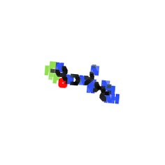 C=NCCC1(n2cc(-c3ncnc4[nH]ccc34)cn2)CN(C2CCN(C(=O)c3ccnc(C(F)(F)F)c3F)CC2)C1